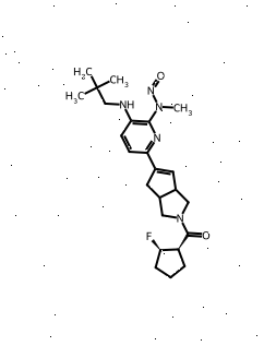 CN(N=O)c1nc(C2=CC3CN(C(=O)[C@H]4CCC[C@H]4F)CC3C2)ccc1NCC(C)(C)C